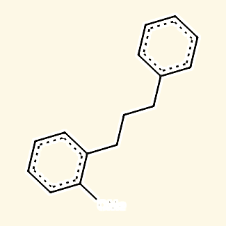 COc1ccccc1CCCc1ccccc1